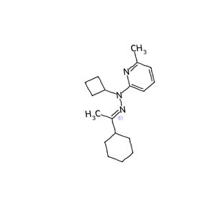 C/C(=N\N(c1cccc(C)n1)C1CCC1)C1CCCCC1